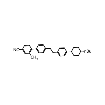 CCCC[C@H]1CC[C@H](c2ccc(CCc3ccc(-c4ccc(C#N)cc4C)cc3)cc2)CC1